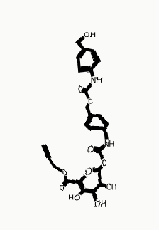 C#CCOC(=O)C1OC(OC(=O)Nc2ccc(COC(=O)Nc3ccc(CO)cc3)cc2)C(O)C(O)C1O